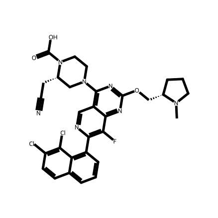 CN1CCC[C@H]1COc1nc(N2CCN(C(=O)O)[C@@H](CC#N)C2)c2cnc(-c3cccc4ccc(Cl)c(Cl)c34)c(F)c2n1